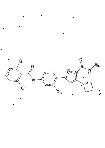 CCC(C)NC(=O)n1nc(-c2ccc(NC(=O)c3c(Cl)cccc3Cl)cc2O)cc1C1CCC1